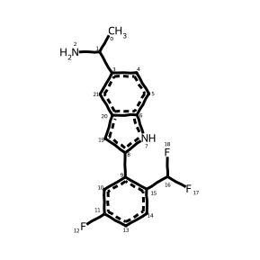 CC(N)c1ccc2[nH]c(-c3cc(F)ccc3C(F)F)cc2c1